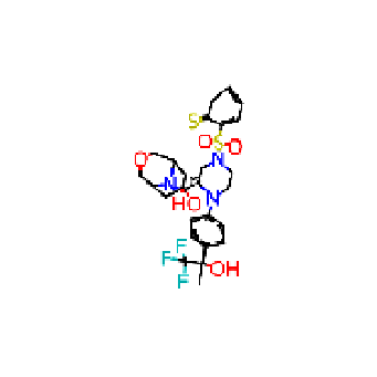 CC(O)(c1ccc(N2CCN(S(=O)(=O)C3=CC=CCC3=S)C[C@@H]2CN2C3COCC2CC(O)C3)cc1)C(F)(F)F